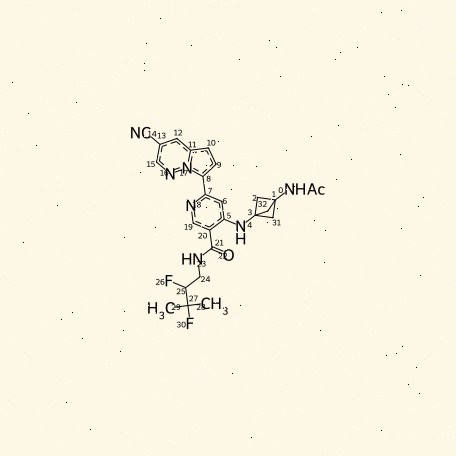 CC(=O)NC12CC(Nc3cc(-c4ccc5cc(C#N)cnn45)ncc3C(=O)NCC(F)C(C)(C)F)(C1)C2